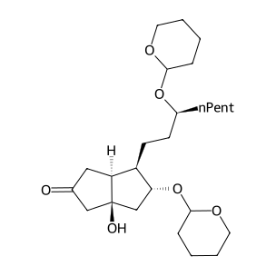 CCCCC[C@@H](CC[C@H]1[C@H](OC2CCCCO2)C[C@]2(O)CC(=O)C[C@@H]12)OC1CCCCO1